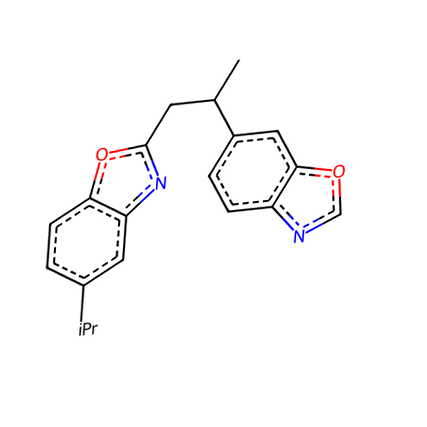 CC(C)c1ccc2oc(CC(C)c3ccc4ncoc4c3)nc2c1